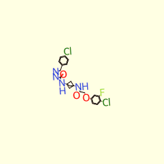 O=C(COc1ccc(Cl)c(F)c1)NC12CC(Nc3nnc(-c4ccc(Cl)cc4)o3)(C1)C2